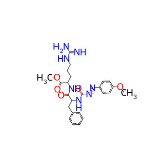 COC(=O)C(CCCNC(=N)N)NC(=O)C(Cc1ccccc1)NC(=O)/N=N/c1ccc(OC)cc1